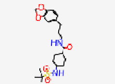 CC(C)(C)S(=O)(=O)NC1CCC(C(=O)NCCCc2ccc3c(c2)OCO3)CC1